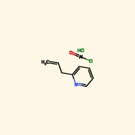 C=CCc1ccccn1.Cl.[O]=[Al][Cl]